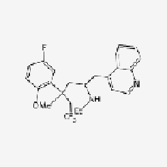 CCNC(Cc1ccnc2ccccc12)CC(C)(CC(F)(F)F)c1cc(F)ccc1OC